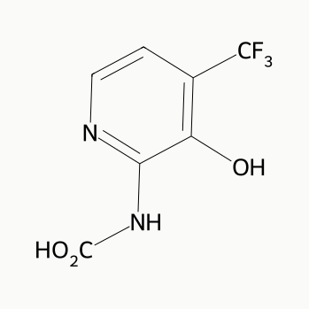 O=C(O)Nc1nccc(C(F)(F)F)c1O